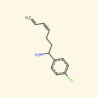 C=C/C=C\CCC(N)c1ccc(Cl)cc1